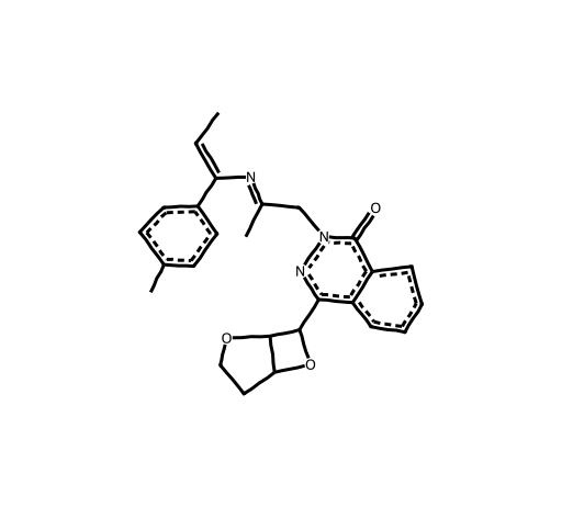 C/C=C(\N=C(/C)Cn1nc(C2OC3CCOC32)c2ccccc2c1=O)c1ccc(C)cc1